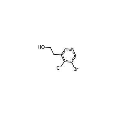 OCCc1cncc(Br)c1Cl